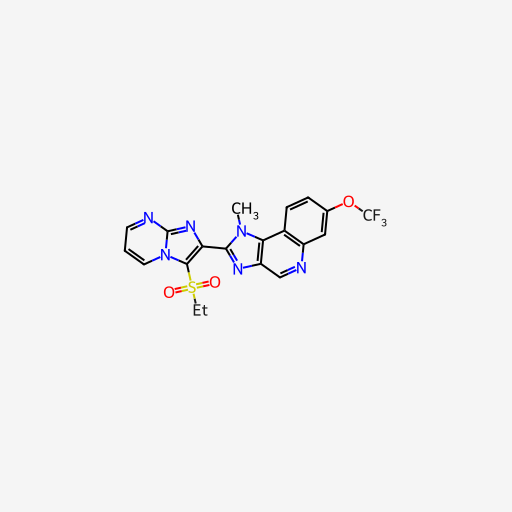 CCS(=O)(=O)c1c(-c2nc3cnc4cc(OC(F)(F)F)ccc4c3n2C)nc2ncccn12